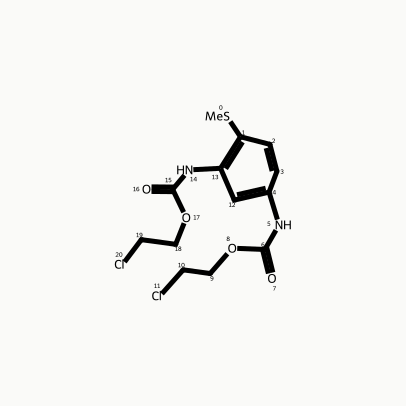 CSc1ccc(NC(=O)OCCCl)cc1NC(=O)OCCCl